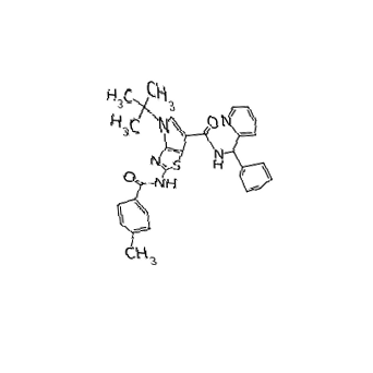 Cc1ccc(C(=O)Nc2nc3c(s2)c(C(=O)NC(c2ccccc2)c2ccccn2)cn3C(C)(C)C)cc1